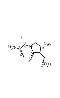 CCC[C@H]1CN([C@@H](C)C(N)=O)C(=O)C1CC(=O)O